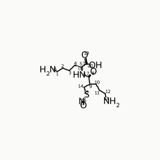 NCCCC[C@H](NC(=O)C(CCCN)CSN=O)C(=O)O